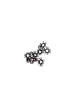 C1=CC(N2c3ccccc3Oc3cc(-c4ccc5c(c4)OC4CC=CCC4C54C5=C(CCC=C5)Oc5cc(-c6ccccc6)ccc54)ccc32)CCC1